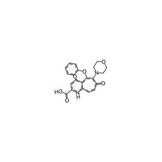 O=C(O)c1cc(=O)c2c(Oc3ccccc3)c(N3CCOCC3)c(=O)ccc2[nH]1